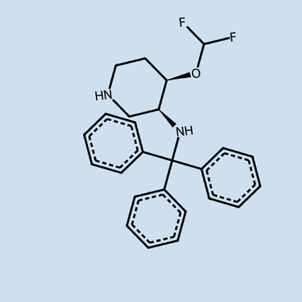 FC(F)O[C@@H]1CCNC[C@@H]1NC(c1ccccc1)(c1ccccc1)c1ccccc1